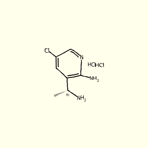 C[C@@H](N)c1cc(Cl)cnc1N.Cl.Cl